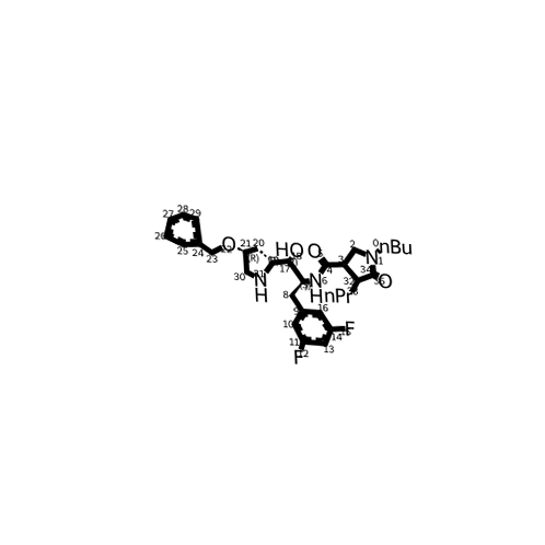 CCCCN1CC(C(=O)N[C@@H](Cc2cc(F)cc(F)c2)[C@H](O)[C@H]2C[C@@H](OCc3ccccc3)CN2)C(CCC)C1=O